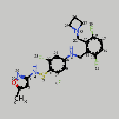 Cc1cc(NSc2c(F)cc(NCc3c(F)ccc(F)c3CN3CCC3)cc2F)no1